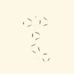 FC(F)(F)c1ccccc1N(c1ccccc1)c1ccc(-c2ccc3[nH]c4ccccc4c3c2)cc1